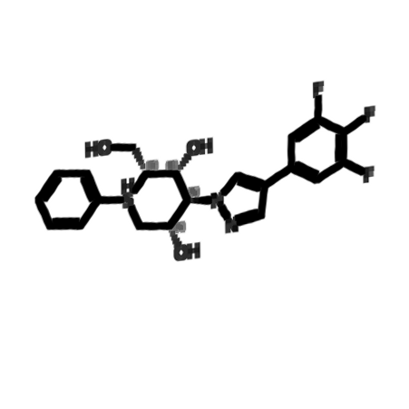 OC[C@@H]1[C@H](O)[C@@H](n2cc(-c3cc(F)c(F)c(F)c3)cn2)[C@H](O)C[SH]1c1ccccc1